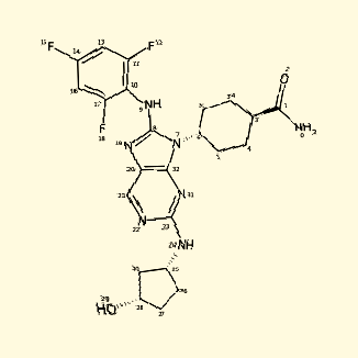 NC(=O)[C@H]1CC[C@H](n2c(Nc3c(F)cc(F)cc3F)nc3cnc(N[C@@H]4CC[C@H](O)C4)nc32)CC1